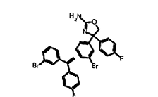 C=C(c1ccc(F)cc1)c1cccc(Br)c1.NC1=NC(c2ccc(F)cc2)(c2cccc(Br)c2)CO1